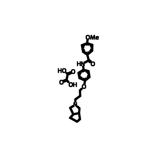 COc1ccc(C(=O)Nc2ccc(OCCCN3CC4CCCC4C3)cc2)cc1.O=C(O)C(=O)O